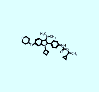 CC(OC(=O)Nc1ccc(C2C(N(C)C)c3ccc(OC4CCOCC4)cc3N2C2CCC2)cc1)C1CC1